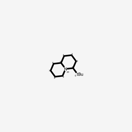 CC(C)(C)C1CCCC2CCCCN21